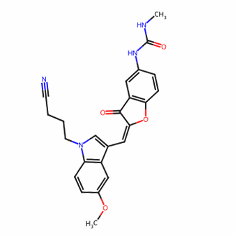 CNC(=O)Nc1ccc2c(c1)C(=O)C(=Cc1cn(CCCC#N)c3ccc(OC)cc13)O2